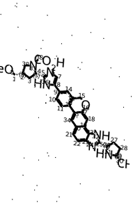 COC[C@H]1C[C@@H](c2ncc(-c3ccc4c(c3)COc3cc5c(ccc6nc([C@@H]7CC[C@H](C)N7)[nH]c65)cc3-4)[nH]2)N(C(=O)O)C1